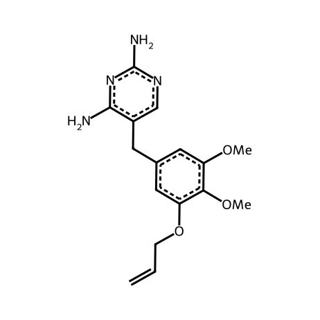 C=CCOc1cc(Cc2cnc(N)nc2N)cc(OC)c1OC